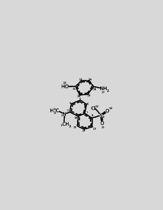 CN(C)c1cccc2c(S(=O)(=O)Cl)cccc12.Nc1ccc(O)cc1